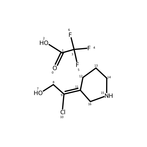 O=C(O)C(F)(F)F.OCC(Cl)=C1CCCNC1